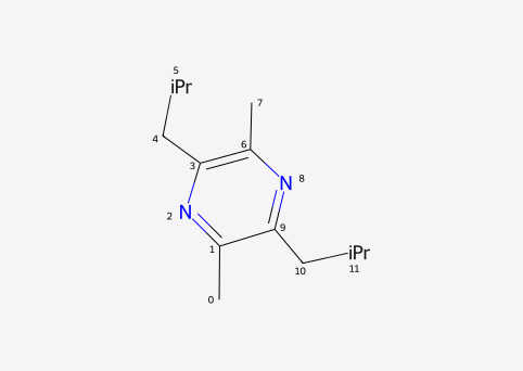 Cc1nc(CC(C)C)c(C)nc1CC(C)C